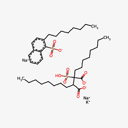 CCCCCCCCC(C(=O)[O-])C(CCCCCCCC)(C(=O)[O-])S(=O)(=O)O.CCCCCCCCc1ccc2ccccc2c1S(=O)(=O)[O-].[K+].[Na+].[Na+]